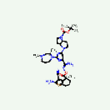 C[C@H]1CN(C)CCCN1c1nc(/C(N)=N/OC(=O)[C@@]2(C)CCCc3sc(N)c(C#N)c32)cc(N2CCC3C2CCN3C(=O)OC(C)(C)C)n1